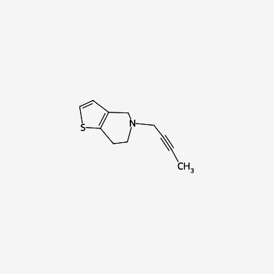 CC#CCN1CCc2sccc2C1